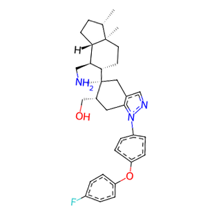 C[C@H]1CC[C@H]2[C@H](CN)[C@@H]([C@@]3(C)Cc4cnn(-c5ccc(Oc6ccc(F)cc6)cc5)c4C[C@@H]3CO)CC[C@]12C